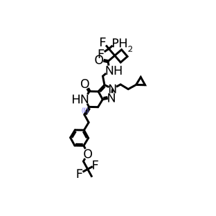 CC(F)(F)COc1cccc(C/C=C2\Cc3nn(CCC4CC4)c(CNC(=O)C4(C(F)(F)P)CCC4)c3C(=O)N2)c1